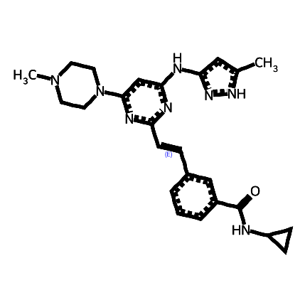 Cc1cc(Nc2cc(N3CCN(C)CC3)nc(/C=C/c3cccc(C(=O)NC4CC4)c3)n2)n[nH]1